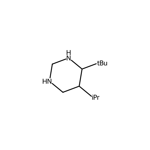 CC(C)C1CNCNC1C(C)(C)C